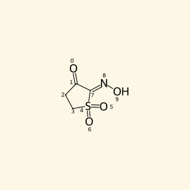 O=C1CCS(=O)(=O)C1=NO